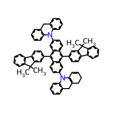 CC1(C)c2ccccc2-c2ccc(-c3c4ccc(N5c6ccccc6Cc6ccccc65)cc4c(-c4ccc5c(c4)C(C)(C)c4ccccc4-5)c4ccc(N5C6=C(CCC=C6)Cc6ccccc65)cc34)cc21